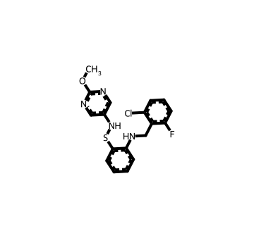 COc1ncc(NSc2ccccc2NCc2c(F)cccc2Cl)cn1